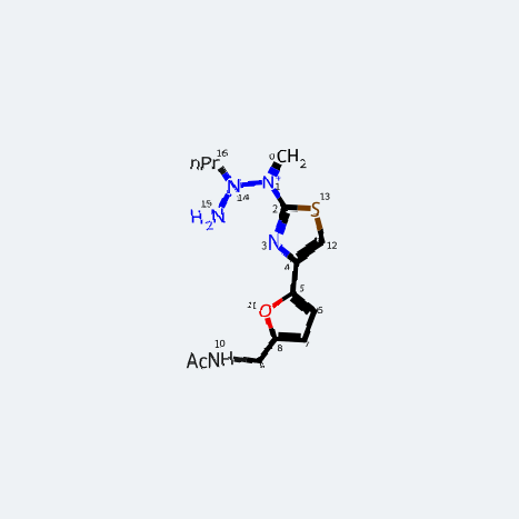 C=[N+](c1nc(-c2ccc(CNC(C)=O)o2)cs1)N(N)CCC